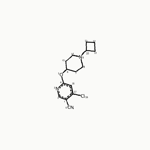 N#Cc1cnc(OC2CCN(C3CCC3)CC2)cc1Cl